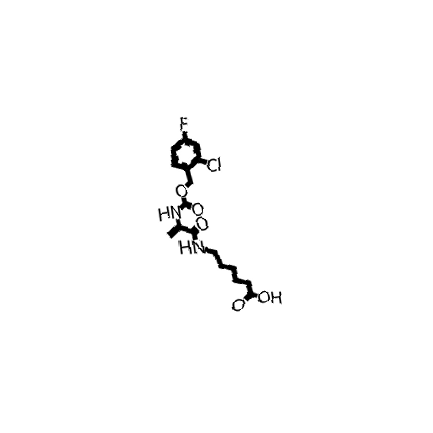 C=C(NC(=O)OCc1ccc(F)cc1Cl)C(=O)NCCCCCC(=O)O